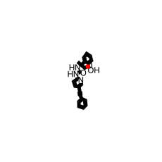 CC(CC(=O)O)(NC(=O)Nc1ccc(C#Cc2ccccc2)cn1)c1ccccc1